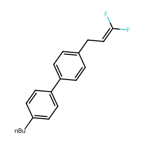 CCCCc1ccc(-c2ccc(CC=C(F)F)cc2)cc1